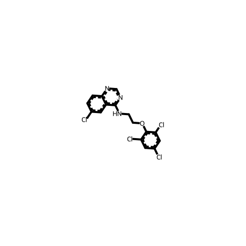 Clc1cc(Cl)c(OCCNc2ncnc3ccc(Cl)cc23)c(Cl)c1